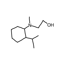 CC(C)C1CCCCC1N(C)CCO